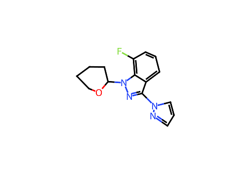 Fc1cccc2c(-n3cccn3)nn(C3CCCCO3)c12